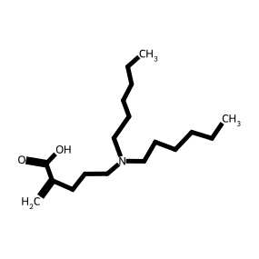 C=C(CCCN(CCCCCC)CCCCCC)C(=O)O